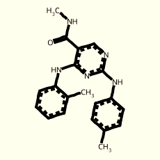 CNC(=O)c1cnc(Nc2ccc(C)cc2)nc1Nc1ccccc1C